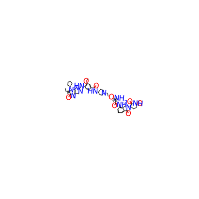 CC[C@@H]1C(=O)N(C)c2cnc(Nc3ccc(C(=O)NC4CCN(CCOC[C@@H](N)C(=O)Nc5cccc6c5CN(C5CCC(=O)NC5=O)C6=O)CC4)cc3OC)nc2N1C1CCCC1